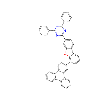 c1ccc(-c2nc(-c3ccccc3)nc(-c3ccc4c(c3)oc3c(-c5ccc6c7ccccc7c7ccccc7c6c5)cccc34)n2)cc1